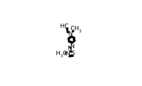 C#CCN(CC)c1ccc(/N=N/c2scc[n+]2C)cc1